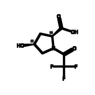 O=C(O)[C@@H]1C[C@H](O)CN1C(=O)C(F)(F)F